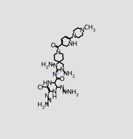 CN1CCN(C2=CC=C(C(=O)N3CCC4(CC3)CN(N)/C(=N\C(=O)C3NC(Cl)=C(N=NN)NC3N=NN)N4N)CN2)CC1